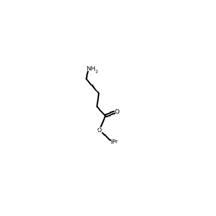 CC(C)OC(=O)CCCN